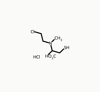 CN(CCCl)C(CS)C(=O)O.Cl